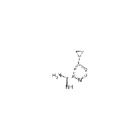 N=C(N)c1cc(C2CC2)ccn1